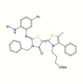 CCNc1ccc(C(C)=O)cc1N=C1S/C(=C2\SC(C)=C(c3ccccc3)N2CCCOC)C(=O)N1Cc1ccccc1